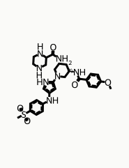 COc1ccc(C(=O)N[C@@H]2CCCN(c3cc(Nc4ccc(S(C)(=O)=O)cc4)c[nH]3)C2)cc1.NC(=O)C1CNCCN1